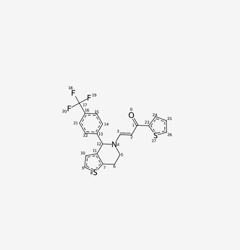 O=C(C=CN1CCc2sccc2C1c1ccc(C(F)(F)F)cc1)c1cccs1